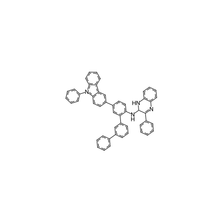 c1ccc(C2=Nc3ccccc3NC2Nc2ccc(-c3ccc4c(c3)c3ccccc3n4-c3ccccc3)cc2-c2cccc(-c3ccccc3)c2)cc1